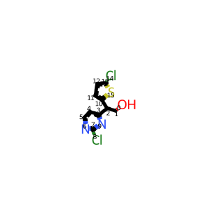 OCC(c1ccnc(Cl)n1)c1ccc(Cl)s1